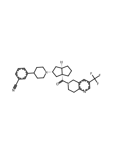 N#Cc1cccc(C2CCN([C@@H]3C[C@H]4CCC[C@@]4(C(=O)N4CCc5ncc(C(F)(F)F)cc5C4)C3)CC2)c1